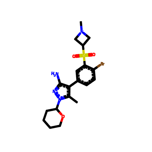 Cc1c(-c2ccc(Br)c(S(=O)(=O)C3CN(C)C3)c2)c(N)nn1C1CCCCO1